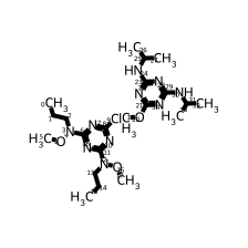 CCCN(OC)c1nc(Cl)nc(N(CCC)OC)n1.COc1nc(NC(C)C)nc(NC(C)C)n1